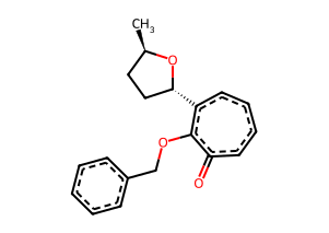 C[C@@H]1CC[C@@H](c2ccccc(=O)c2OCc2ccccc2)O1